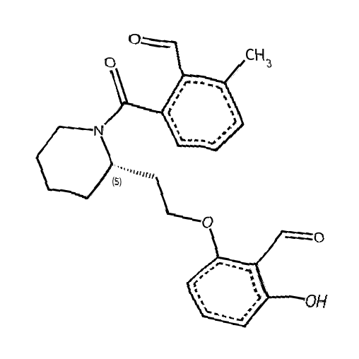 Cc1cccc(C(=O)N2CCCC[C@H]2CCOc2cccc(O)c2C=O)c1C=O